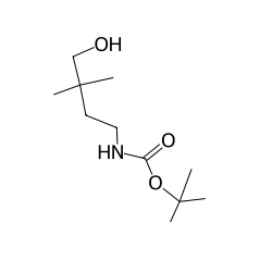 CC(C)(CO)CCNC(=O)OC(C)(C)C